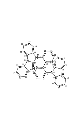 c1ccc(-n2c3ccccc3c3ccccc32)c(-c2ncccc2-n2c3ccccc3n3c4ccccc4nc23)c1